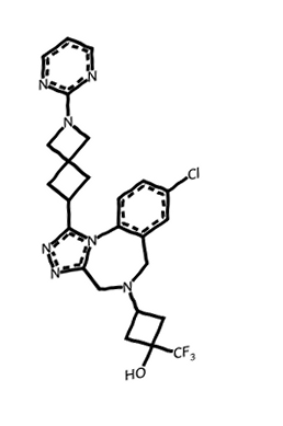 OC1(C(F)(F)F)CC(N2Cc3cc(Cl)ccc3-n3c(nnc3C3CC4(C3)CN(c3ncccn3)C4)C2)C1